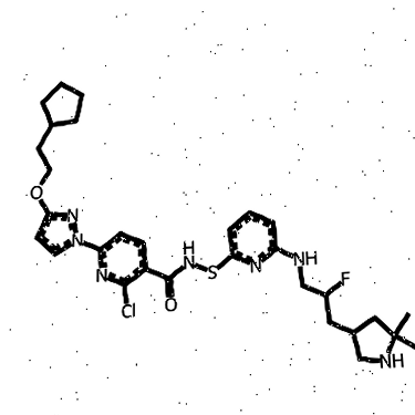 CC1(C)CC(CC(F)CNc2cccc(SNC(=O)c3ccc(-n4ccc(OCCC5CCCC5)n4)nc3Cl)n2)CN1